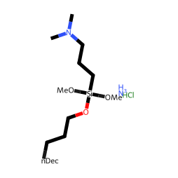 CCCCCCCCCCCCCO[Si](CCCN(C)C)(OC)OC.Cl.N